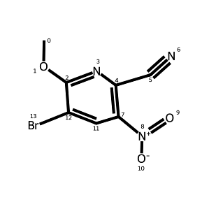 COc1nc(C#N)c([N+](=O)[O-])cc1Br